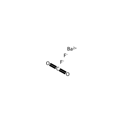 O=C=O.[Ba+2].[F-].[F-]